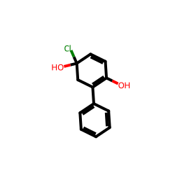 OC1=C(c2ccccc2)CC(O)(Cl)C=C1